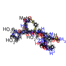 CNC(=O)[C@@H]1CSCc2cccc(c2)CS[C@@H](C(=O)N[C@@H](CCC(=O)O)C(=O)N2CCC[C@@H]2C(=O)N[C@@H](CC(=O)O)C(=O)N[C@@H](Cc2ccc(NC(=O)CCS(N)(=O)=O)cc2)C(=O)N[C@@H](CC(C)C)C(=O)N[C@H](C(=O)N[C@@H](Cc2c[nH]c3ccccc23)C(N)=O)[C@@H](C)O)NC(=O)[C@@H](NC(=O)CN2CCN(C(=O)CN3CCN(CC(=O)O)CCN(CC(=O)O)CCN(CC(=O)O)CC3)CC2)CCC(=O)NCCC(=O)N1